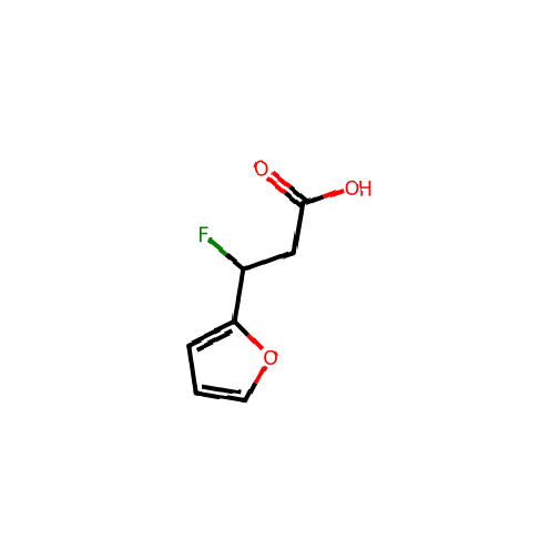 O=C(O)CC(F)c1ccco1